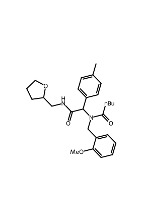 CCCCC(=O)N(Cc1ccccc1OC)C(C(=O)NCC1CCCO1)c1ccc(C)cc1